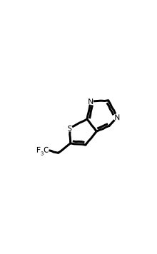 FC(F)(F)Cc1cc2cncnc2s1